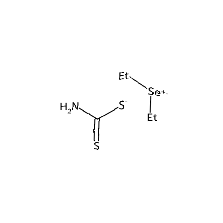 CC[Se+]CC.NC(=S)[S-]